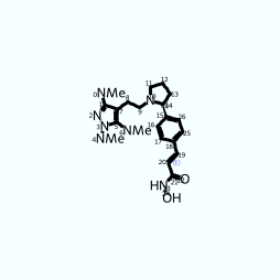 CNc1nn(NC)c(NC)c1CCN1CCC[C@H]1c1ccc(/C=C/C(=O)NO)cc1